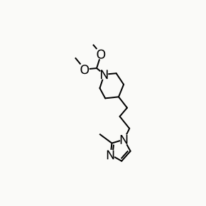 COC(OC)N1CCC(CCCn2ccnc2C)CC1